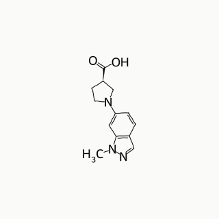 Cn1ncc2ccc(N3CC[C@@H](C(=O)O)C3)cc21